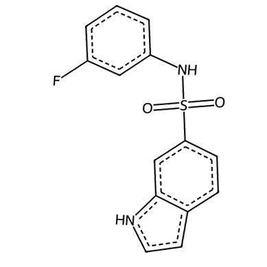 O=S(=O)(Nc1cccc(F)c1)c1ccc2cc[nH]c2c1